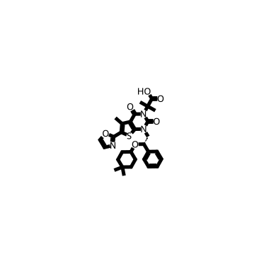 Cc1c(-c2ncco2)sc2c1c(=O)n(C(C)(C)C(=O)O)c(=O)n2C[C@@H](OC1CCC(C)(C)CC1)c1ccccc1